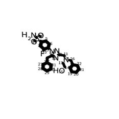 NS(=O)(=O)c1ccc(-n2nc(CN(CCO)Cc3ccccc3)nc2Cc2ccccc2)c(F)c1